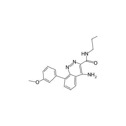 CCCNC(=O)c1nnc2c(-c3cccc(OC)c3)cccc2c1N